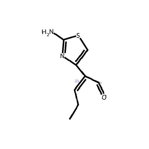 CC/C=C(\[C]=O)c1csc(N)n1